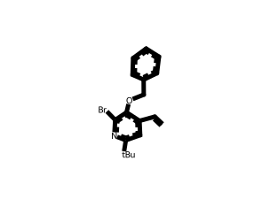 C=Cc1cc(C(C)(C)C)nc(Br)c1OCc1ccccc1